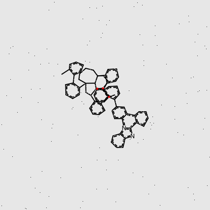 Cc1ccccc1-c1ccccc1C12CCCCC3(c4ccccc4-c4ccccc4C)CC4c5ccccc5-c5c(-c6ccc7c(c6)c6ccccc6c6nc8ccccc8n76)cccc5C4(CCC1)C23